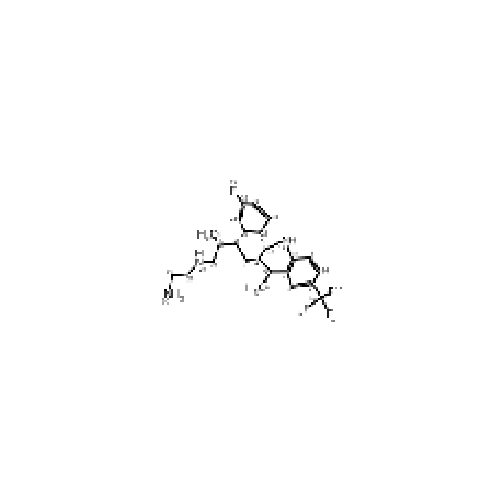 C[C@H](CC[C@@H]1[C@H](C)c2cc(C(F)(F)F)ccc2N[C@H]1C1C=CC(F)=CC1)CNCCN